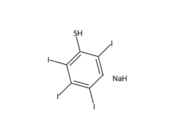 Sc1c(I)cc(I)c(I)c1I.[NaH]